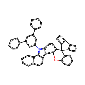 c1ccc(-c2cc(-c3ccccc3)cc(-n3c4ccc5c(c4c4ccc6ccccc6c43)Oc3ccccc3C53c4ccccc4-c4ccccc43)c2)cc1